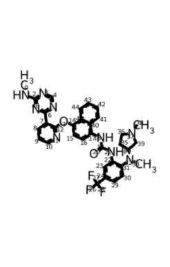 CNc1ncnc(-c2cccnc2Oc2ccc(NC(=O)Nc3cc(C(F)(F)F)ccc3N(C)[C@@H]3CCN(C)C3)c3ccccc23)n1